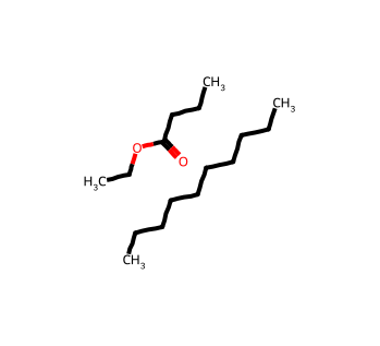 CCCC(=O)OCC.CCCCCCCCCC